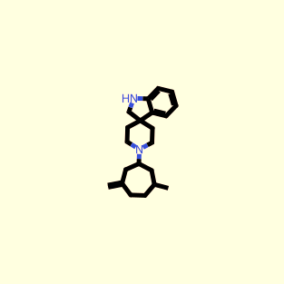 C=C1CCC(C)CC(N2CCC3(CC2)CNc2ccccc23)C1